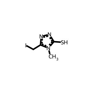 Cn1c(S)nnc1CI